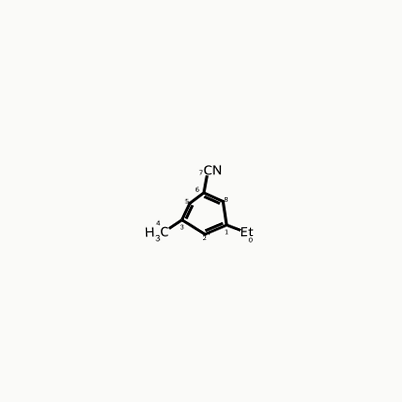 CCc1[c]c(C)cc(C#N)c1